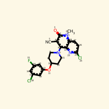 Cn1c(=O)c(C#N)c(N2CCC(Oc3cc(F)cc(Cl)c3)CC2)c2nc(Cl)ccc21